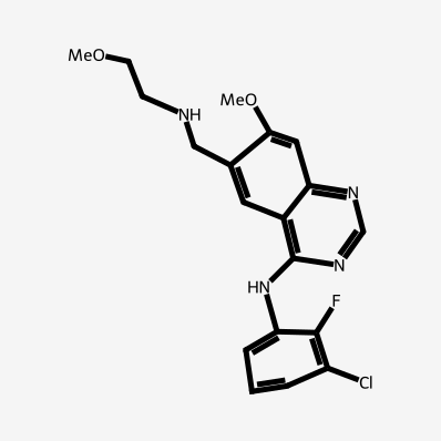 COCCNCc1cc2c(Nc3cccc(Cl)c3F)ncnc2cc1OC